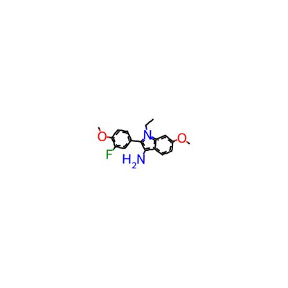 CCn1c(-c2ccc(OC)c(F)c2)c(N)c2ccc(OC)cc21